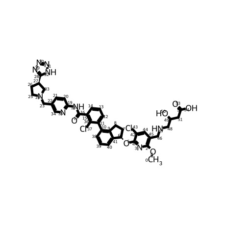 COc1nc(O[C@H]2CCc3c(-c4cccc(C(=O)Nc5ccc(CN6CC[C@@H](c7nnn[nH]7)C6)cn5)c4Cl)cccc32)c(Cl)cc1CNCC(O)CC(=O)O